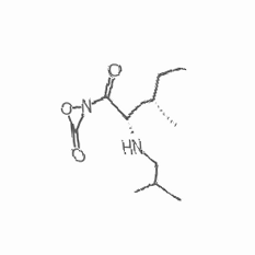 CC[C@H](C)[C@H](NCC(C)C)C(=O)N1OC1=O